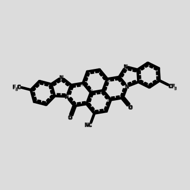 N#Cc1cc2c(=O)n3c4cc(C(F)(F)F)ccc4nc3c3ccc4c(c1c(=O)n1c5ccc(C(F)(F)F)cc5nc41)c23